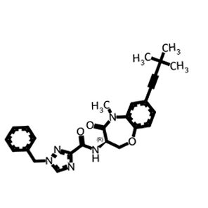 CN1C(=O)[C@H](NC(=O)c2ncn(Cc3ccccc3)n2)COc2ccc(C#CC(C)(C)C)cc21